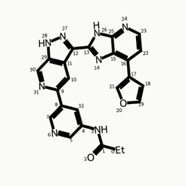 CCC(=O)Nc1cncc(-c2cc3c(-c4nc5c(-c6ccoc6)ccnc5[nH]4)n[nH]c3cn2)c1